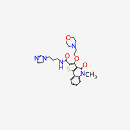 Cn1c(=O)c2c(OCCN3CCOCC3)c(C(=O)NCCCn3ccnc3)sc2c2ccccc21